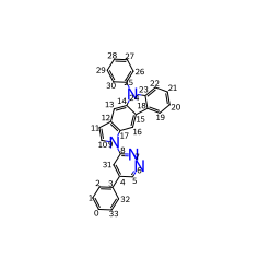 c1ccc(-c2cnnc(-n3ccc4cc5c(cc43)c3ccccc3n5-c3ccccc3)c2)cc1